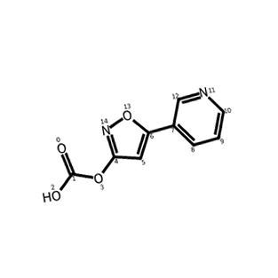 O=C(O)Oc1cc(-c2cccnc2)on1